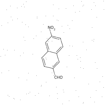 O=Cc1ccc2cc([N+](=O)[O-])ccc2c1